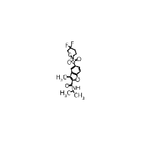 Cc1c(C(=O)NC(C)C)oc2ccc(S(=O)(=O)N3CCC(F)(F)CC3)cc12